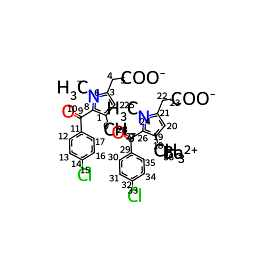 Cc1cc(CC(=O)[O-])n(C)c1C(=O)c1ccc(Cl)cc1.Cc1cc(CC(=O)[O-])n(C)c1C(=O)c1ccc(Cl)cc1.[Ba+2]